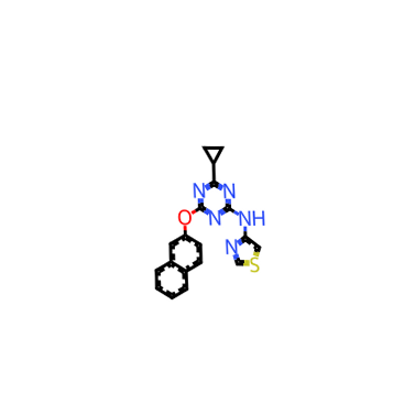 c1ccc2cc(Oc3nc(Nc4cscn4)nc(C4CC4)n3)ccc2c1